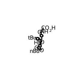 CCCCN1C(=O)c2ccc(NC(=O)N(Cc3ccc(C(=O)NCCC(=O)O)cc3)c3ccc(C(C)(C)C)cc3)cc2C1=O